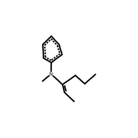 C/C=C(\CCC)N(C)c1ccccc1